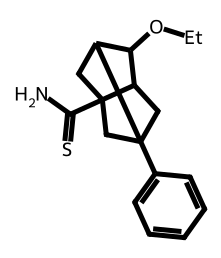 CCOC1C2CC3(c4ccccc4)CC2(C(N)=S)CC13